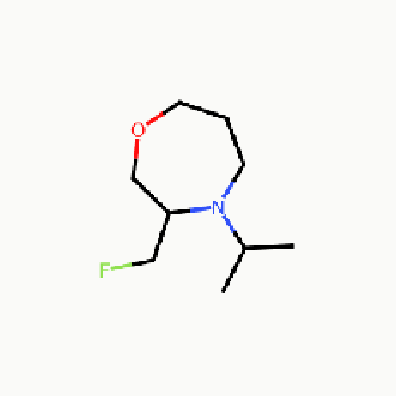 CC(C)N1CCCOCC1CF